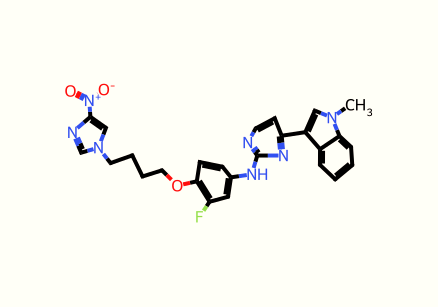 Cn1cc(-c2ccnc(Nc3ccc(OCCCCn4cnc([N+](=O)[O-])c4)c(F)c3)n2)c2ccccc21